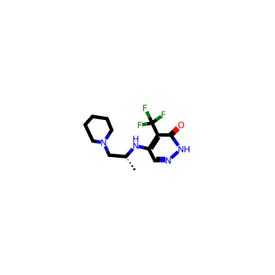 C[C@H](CN1CCCCC1)Nc1cn[nH]c(=O)c1C(F)(F)F